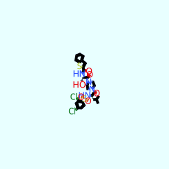 CC(C)C[C@H](NS(=O)(=O)c1ccc(Cl)cc1Cl)C(=O)N1CCN(C(=O)[C@H](CO)NC(=O)c2cc3ccccc3s2)CC1